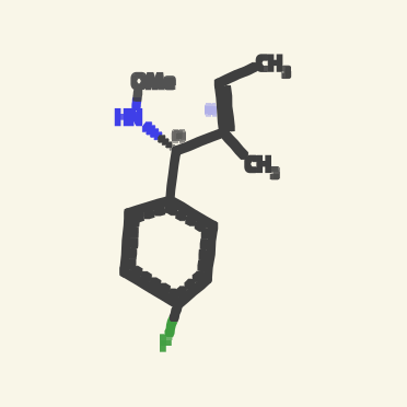 C/C=C(\C)[C@@H](NOC)c1ccc(F)cc1